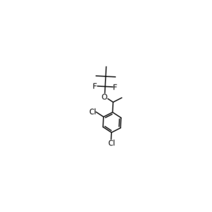 CC(OC(F)(F)C(C)(C)C)c1ccc(Cl)cc1Cl